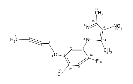 CC#CCOc1cc(-n2nc(C)c([N+](=O)[O-])c2C)c(F)cc1Cl